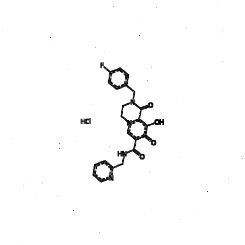 Cl.O=C(NCc1ccccn1)c1cn2c(c(O)c1=O)C(=O)N(Cc1ccc(F)cc1)CC2